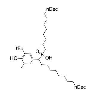 CCCCCCCCCCCCCCCCCCC(c1cc(C)c(O)c(C(C)(C)C)c1)P(=O)(O)CCCCCCCCCCCCCCCCCC